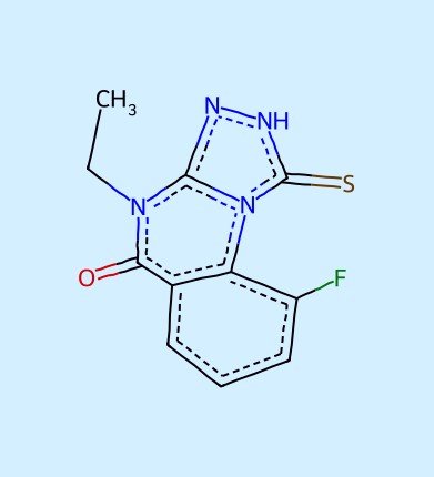 CCn1c(=O)c2cccc(F)c2n2c(=S)[nH]nc12